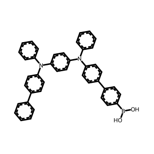 OB(O)c1ccc(-c2ccc(N(c3ccccc3)c3ccc(N(c4ccccc4)c4ccc(-c5ccccc5)cc4)cc3)cc2)cc1